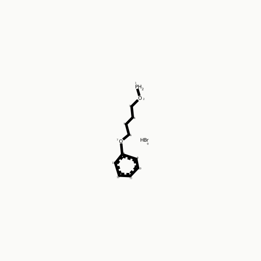 Br.POCCCCOc1ccccc1